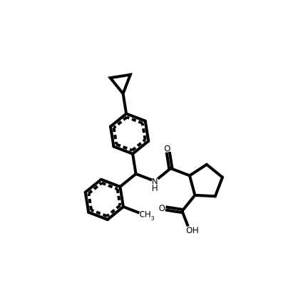 Cc1ccccc1C(NC(=O)C1CCCC1C(=O)O)c1ccc(C2CC2)cc1